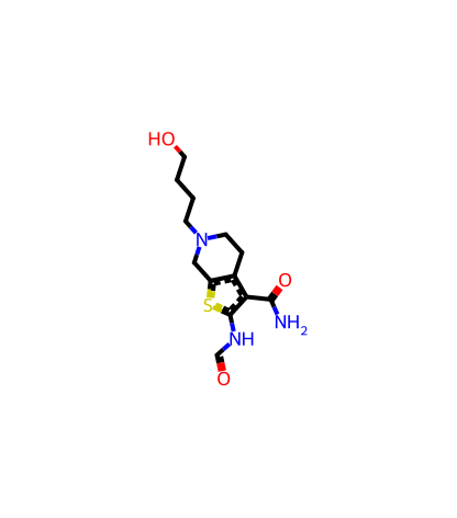 NC(=O)c1c(NC=O)sc2c1CCN(CCCCO)C2